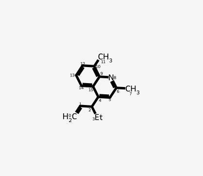 C=CC(CC)c1cc(C)nc2c(C)cccc12